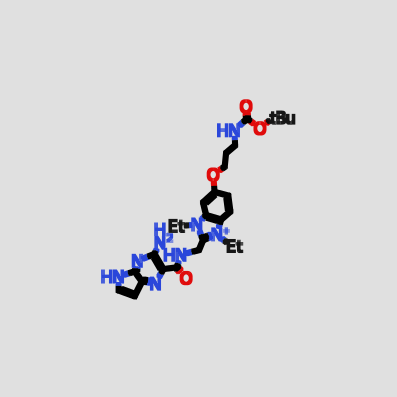 CCn1c(CNC(=O)c2nc3cc[nH]c3nc2N)[n+](CC)c2ccc(OCCCNC(=O)OC(C)(C)C)cc21